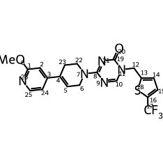 COc1cc(C2=CCN(c3ncn(Cc4ccc(C(F)(F)F)s4)c(=O)n3)CC2)ccn1